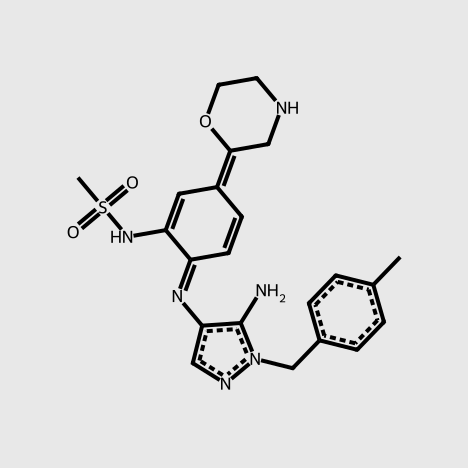 Cc1ccc(Cn2ncc(N=C3C=CC(=C4CNCCO4)C=C3NS(C)(=O)=O)c2N)cc1